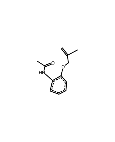 C=C(C)COc1ccccc1NC(C)=O